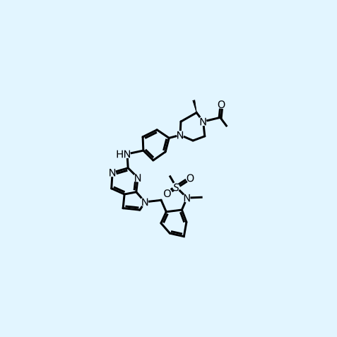 CC(=O)N1CCN(c2ccc(Nc3ncc4ccn(Cc5ccccc5N(C)S(C)(=O)=O)c4n3)cc2)C[C@H]1C